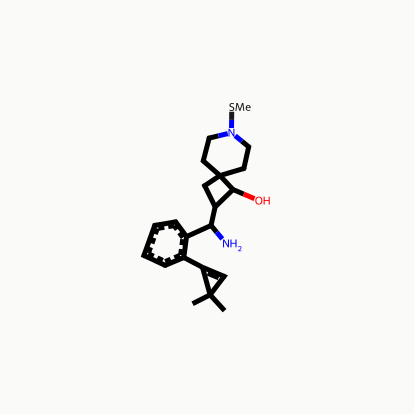 CSN1CCC2(CC1)CC(C(N)c1ccccc1C1=CC1(C)C)C2O